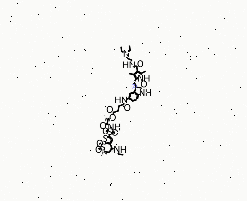 CCN[C@H]1C[C@H](C)S(=O)(=O)c2sc(S(=O)(=O)NC(=O)[C@H](C)OC(=O)CCC(=O)Nc3ccc4c(c3)/C(=C/c3[nH]c(C)c(C(=O)NCCN(CC)CC)c3C)C(=O)N4)cc21